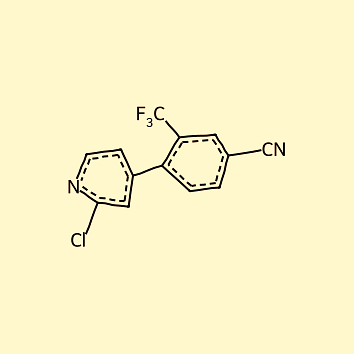 N#Cc1ccc(-c2ccnc(Cl)c2)c(C(F)(F)F)c1